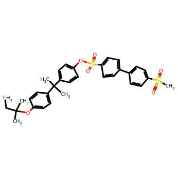 CCC(C)(C)Oc1ccc(C(C)(C)c2ccc(OS(=O)(=O)c3ccc(-c4ccc(S(C)(=O)=O)cc4)cc3)cc2)cc1